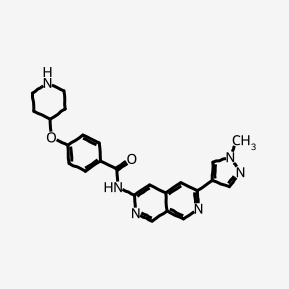 Cn1cc(-c2cc3cc(NC(=O)c4ccc(OC5CCNCC5)cc4)ncc3cn2)cn1